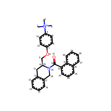 C[N+](C)(C)c1ccc(OC[C@@H]2Cc3ccccc3CN2C(=O)c2cccc3ccccc23)cc1